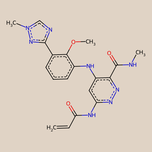 C=CC(=O)Nc1cc(Nc2cccc(-c3ncn(C)n3)c2OC)c(C(=O)NC)nn1